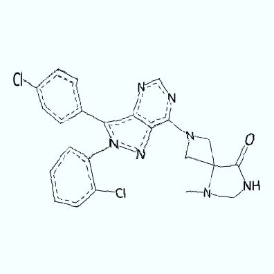 CN1CNC(=O)C12CN(c1ncnc3c(-c4ccc(Cl)cc4)n(-c4ccccc4Cl)nc13)C2